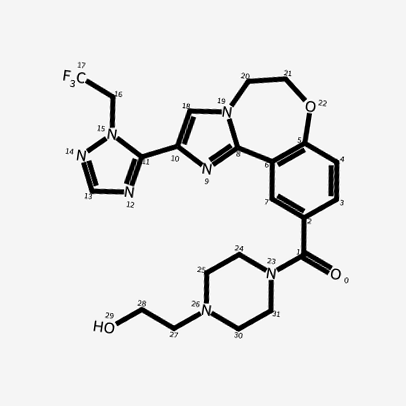 O=C(c1ccc2c(c1)-c1nc(-c3ncnn3CC(F)(F)F)cn1CCO2)N1CCN(CCO)CC1